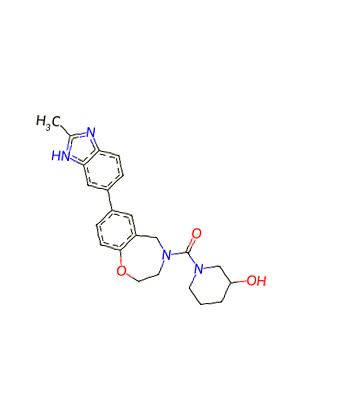 Cc1nc2ccc(-c3ccc4c(c3)CN(C(=O)N3CCCC(O)C3)CCO4)cc2[nH]1